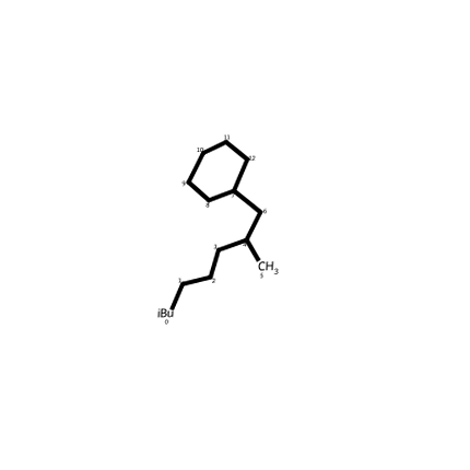 CCC(C)CCCC(C)CC1CCCCC1